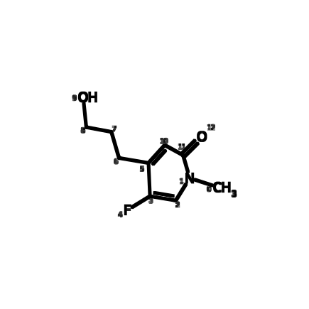 Cn1cc(F)c(CCCO)cc1=O